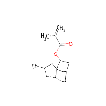 C=C(C)C(=O)OC1CC2CC3CC(CC)CC321